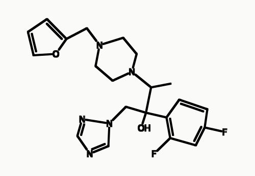 CC(N1CCN(Cc2ccco2)CC1)C(O)(Cn1cncn1)c1ccc(F)cc1F